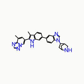 Cc1c(-c2cc(C)c3ncnn3c2)[nH]c2cc(-c3ccc4c(c3)ncn4C3CC4CC3CN4)ccc12